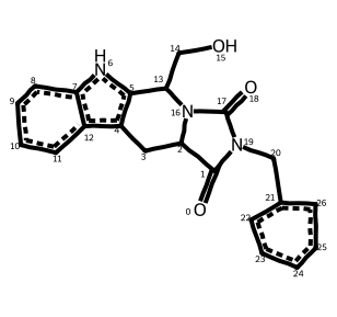 O=C1C2Cc3c([nH]c4ccccc34)C(CO)N2C(=O)N1Cc1ccccc1